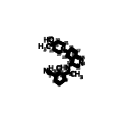 Cc1c(C#N)cccc1[C@@H](C)Nc1cnnc2ccc(N3CCC(C)(O)CC3)cc12